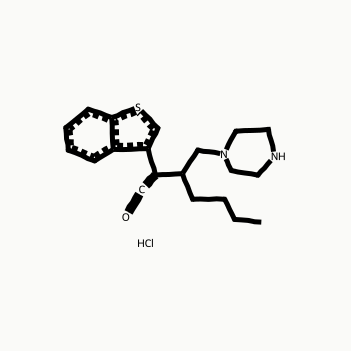 CCCCC(CN1CCNCC1)C(=C=O)c1csc2ccccc12.Cl